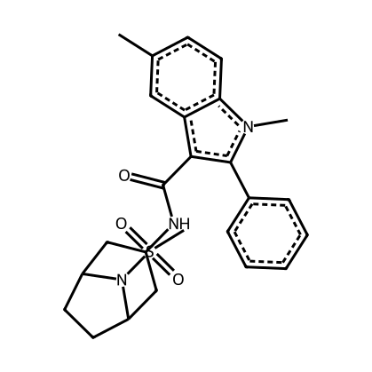 Cc1ccc2c(c1)c(C(=O)NC1CC3CCC(C1)N3S(C)(=O)=O)c(-c1ccccc1)n2C